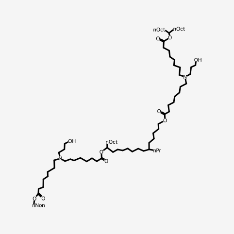 CCCCCCCCCOC(=O)CCCCCCCN(CCCO)CCCCCCCC(=O)OC(CCCCCCCC)CCCCCCCC(CCC)CCCCCOC(=O)CCCCCCCN(CCCO)CCCCCCCC(=O)OC(CCCCCCCC)CCCCCCCC